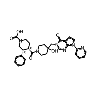 O=C(O)N1CC[C@@H](C(=O)N2CCC(O)(Cn3cnc4c(ccn4-c4ccccn4)c3=O)CC2)[C@H](c2ccccc2)C1